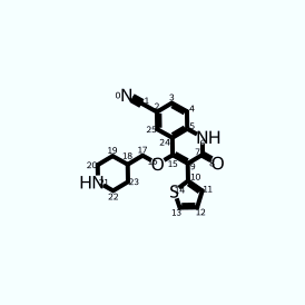 N#Cc1ccc2[nH]c(=O)c(-c3cccs3)c(OCC3CCNCC3)c2c1